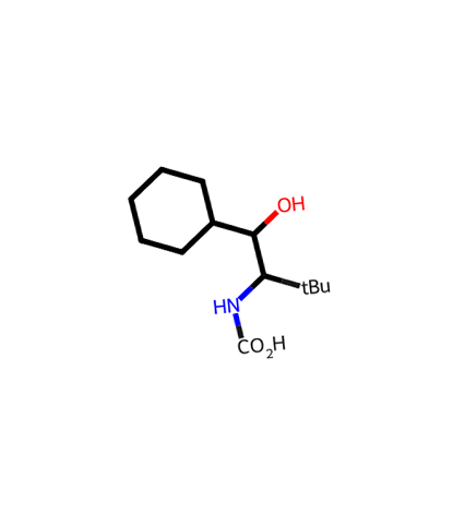 CC(C)(C)C(NC(=O)O)C(O)C1CCCCC1